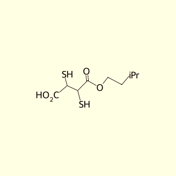 CC(C)CCOC(=O)C(S)C(S)C(=O)O